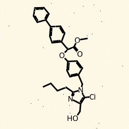 CCCCc1nc(CO)c(Cl)n1Cc1ccc(OC(C(=O)OC)c2ccc(-c3ccccc3)cc2)cc1